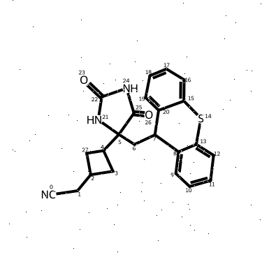 N#CCC1CC(C2(CC3c4ccccc4Sc4ccccc43)NC(=O)NC2=O)C1